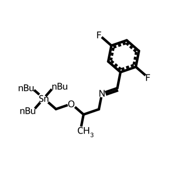 CCC[CH2][Sn]([CH2]CCC)([CH2]CCC)[CH2]OC(C)CN=Cc1cc(F)ccc1F